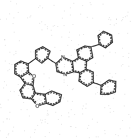 c1ccc(-c2ccc3c(c2)c2cc(-c4ccccc4)ccc2c2nc(-c4cccc(-c5cccc6c5oc5c6ccc6oc7ccccc7c65)c4)cnc32)cc1